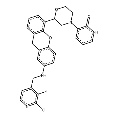 O=c1[nH]cccc1N1CCOC(c2cccc3c2Oc2ccc(NCc4ccnc(Cl)c4F)cc2C3)C1